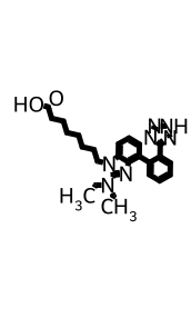 CCN(CC)c1nc2c(-c3ccccc3-c3nn[nH]n3)cccc2n1CCCCCCCC(=O)O